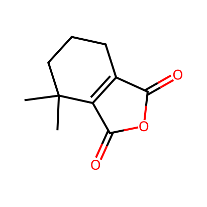 CC1(C)CCCC2=C1C(=O)OC2=O